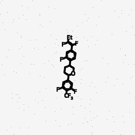 CC/C(F)=C(\F)c1ccc(C2CCC(c3cc(F)c(C(F)(F)F)c(F)c3)OC2)c(F)c1